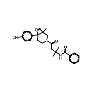 [C-]#[N+]c1ccc(C2(O)CCN(C(=O)CC(C)(C)NC(=O)c3ccccc3)CC2(C)C)cc1